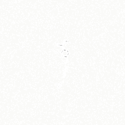 CCCCOCCOc1ccc(C(=O)O)cc1